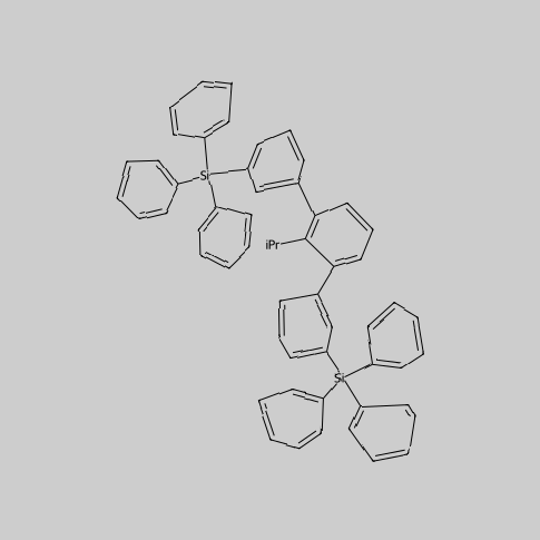 CC(C)c1c(-c2cccc([Si](c3ccccc3)(c3ccccc3)c3ccccc3)c2)cccc1-c1cccc([Si](c2ccccc2)(c2ccccc2)c2ccccc2)c1